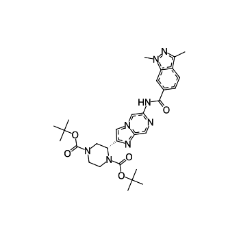 Cc1nn(C)c2cc(C(=O)Nc3cn4cc([C@H]5CN(C(=O)OC(C)(C)C)CCN5C(=O)OC(C)(C)C)nc4cn3)ccc12